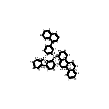 c1cc(-c2cccc3ccccc23)cc(N(c2cccc3c2ccc2c4ccccc4ccc32)c2cccc3c2oc2ccccc23)c1